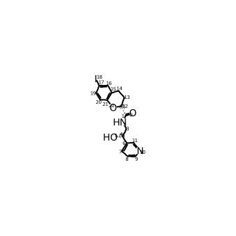 O=C(NC[C@@H](O)c1cccnc1)[C@H]1CCc2cc(I)ccc2O1